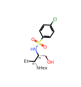 CCCCCC[C@H](CC)[C@@H](CO)NS(=O)(=O)c1ccc(Cl)cc1